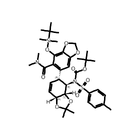 Cc1ccc(S(=O)(=O)N(C(=O)OC(C)(C)C)[C@H]2[C@@H]3OC(C)(C)O[C@@H]3C=C[C@@H]2c2cc3c(c(O[Si](C)(C)C(C)(C)C)c2C(=O)N(C)C)OCO3)cc1